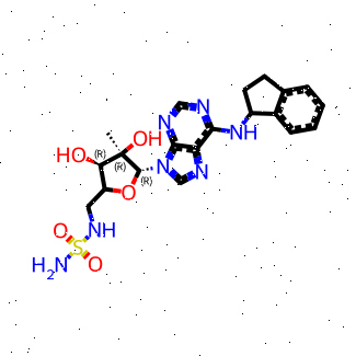 C[C@@]1(O)[C@H](O)C(CNS(N)(=O)=O)O[C@H]1n1cnc2c(NC3CCc4ccccc43)ncnc21